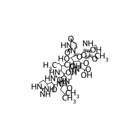 CCC(C)C(NC(=O)NC(C(=O)NC(CC(C)C)C(=O)NCCCNC(C(=O)O)C(O[C@@H]1O[C@H](CN)[C@@H](O)[C@H]1OC)C1O[C@@H](n2ccc(=O)[nH]c2=O)C(O)C1O)C1CCNC(=N)N1)C(=O)O